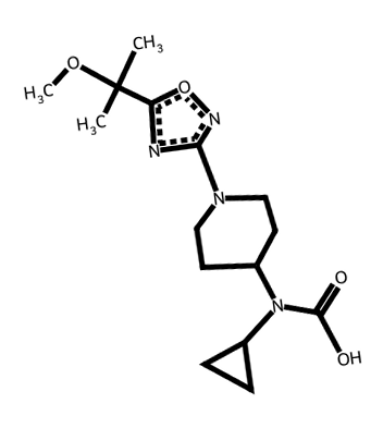 COC(C)(C)c1nc(N2CCC(N(C(=O)O)C3CC3)CC2)no1